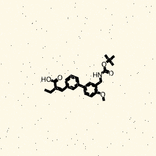 CCC(=Cc1cccc(-c2ccc(OC)c(CNC(=O)OC(C)(C)C)c2)c1)C(=O)O